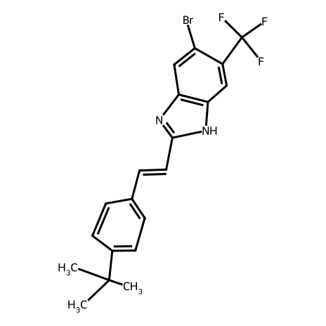 CC(C)(C)c1ccc(C=Cc2nc3cc(Br)c(C(F)(F)F)cc3[nH]2)cc1